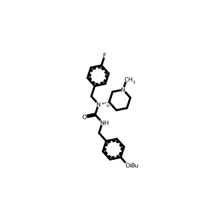 CC(C)COc1ccc(CNC(=O)N(Cc2ccc(F)cc2)[C@H]2CCCN(C)C2)cc1